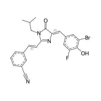 CC(C)CN1C(=O)/C(=C/c2cc(F)c(O)c(Br)c2)N=C1/C=C/c1cccc(C#N)c1